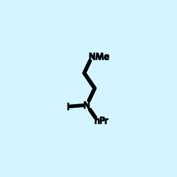 CCCN(I)CCNC